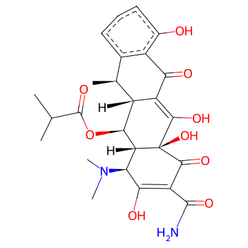 CC(C)C(=O)O[C@H]1[C@H]2C(=C(O)[C@]3(O)C(=O)C(C(N)=O)=C(O)[C@@H](N(C)C)[C@H]13)C(=O)c1c(O)cccc1[C@@H]2C